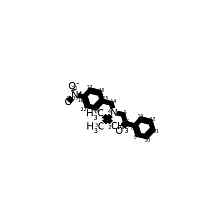 CC(C)(C)N(CC(=O)c1ccccc1)Cc1ccc([N+](=O)[O-])cc1